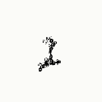 C=C1c2ccccc2CN1[C@H](C(=O)N1C[C@H](O)CC1C(=O)NCc1ccc(-c2scnc2C)cc1OCCCOCCCOc1ccc(C2C(=S)C(c3ccc(C#N)c(C(F)(F)F)c3)C(=O)C2(C)C)cc1)C(C)C